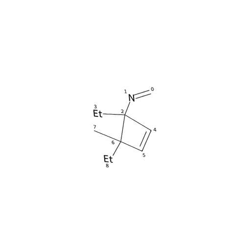 C=NC1(CC)C=CC1(C)CC